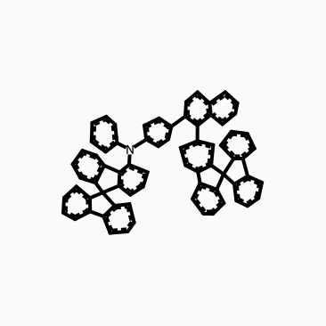 c1ccc(N(c2ccc(-c3ccc4ccccc4c3-c3ccc4c(c3)C3(c5ccccc5-c5ccccc53)c3ccccc3-4)cc2)c2cccc3c2-c2ccccc2C32c3ccccc3-c3ccccc32)cc1